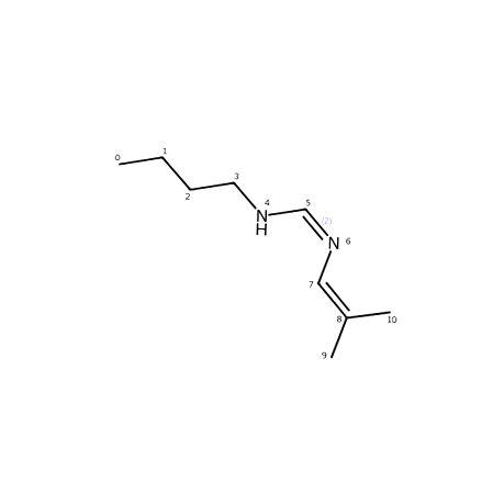 CCCCN/C=N\C=C(C)C